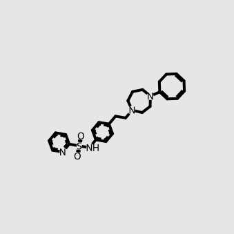 O=S(=O)(Nc1ccc(CCN2CCCN(/C3=C/C=C\C=CCC3)CC2)cc1)c1ccccn1